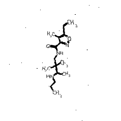 CCCNC(C)C(C)(C)CNC(=O)c1noc(CC)c1C